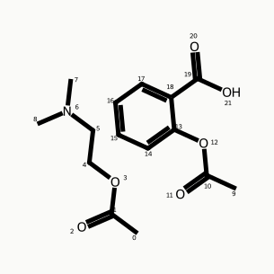 CC(=O)OCCN(C)C.CC(=O)Oc1ccccc1C(=O)O